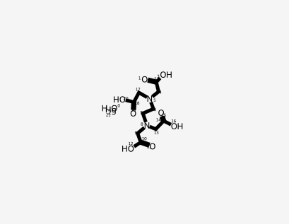 O.O=C(O)CN(CCN(CC(=O)O)CC(=O)O)CC(=O)O.[Hg]